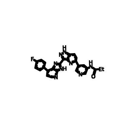 CCC(=O)Nc1cncc(-c2ccc3[nH]nc(-c4nc5c(-c6ccc(F)cc6)ccnc5[nH]4)c3n2)c1